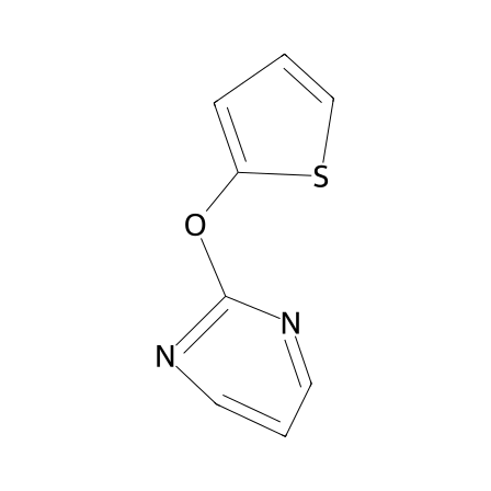 c1cnc(Oc2cccs2)nc1